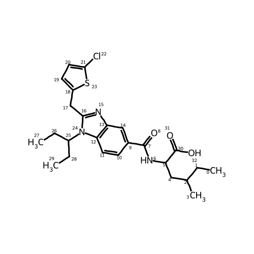 CCC(C)CC(NC(=O)c1ccc2c(c1)nc(Cc1ccc(Cl)s1)n2C(CC)CC)C(=O)O